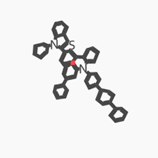 c1ccc(-c2ccc(-c3ccc(N(c4cccc(-c5ccccc5)c4)c4ccccc4-c4cccc5c4sc4c6ccccc6n(-c6ccccc6)c54)cc3)cc2)cc1